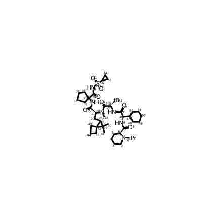 CC(C)N1CCCC[C@H]1C(=O)N[C@H](C(=O)N[C@H](C(=O)N1C[C@]2(C[C@H]1C(=O)NC1(C(=O)NS(=O)(=O)C3CC3)CCCC1)C(C)(C)C21CCC1)C(C)(C)C)C1CCCCC1